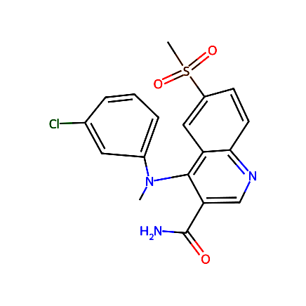 CN(c1cccc(Cl)c1)c1c(C(N)=O)cnc2ccc(S(C)(=O)=O)cc12